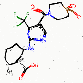 C[C@@H]1CCC[C@H](Nc2ncc(C(=O)N3CCS(=O)(=O)CC3)c(C(F)(F)F)n2)[C@@H]1C(=O)O